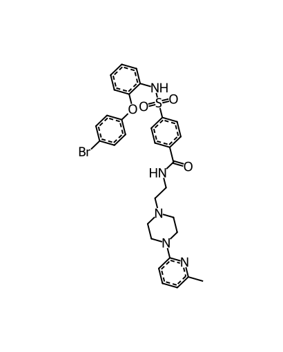 Cc1cccc(N2CCN(CCNC(=O)c3ccc(S(=O)(=O)Nc4ccccc4Oc4ccc(Br)cc4)cc3)CC2)n1